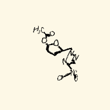 CC(=O)Oc1ccc(Cn2ncc([N+](=O)[O-])n2)o1